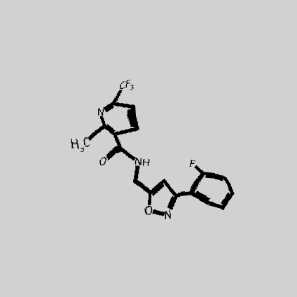 Cc1nc(C(F)(F)F)ccc1C(=O)NCc1cc(-c2ccccc2F)no1